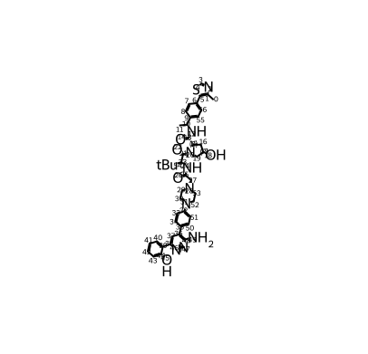 Cc1ncsc1-c1ccc(C(C)NC(=O)[C@@H]2C[C@@H](O)CN2C(=O)C(NC(=O)CN2CCN(c3ccc(-c4cc(-c5ccccc5O)nnc4N)cc3)CC2)C(C)(C)C)cc1